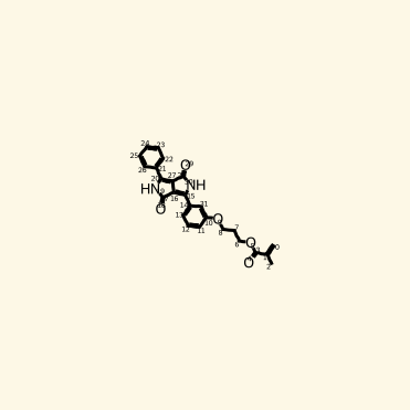 C=C(C)C(=O)OCCCOc1cccc(C2=C3C(=O)NC(c4ccccc4)=C3C(=O)N2)c1